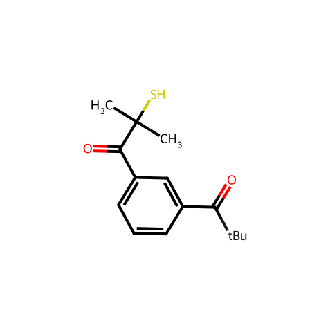 CC(C)(C)C(=O)c1cccc(C(=O)C(C)(C)S)c1